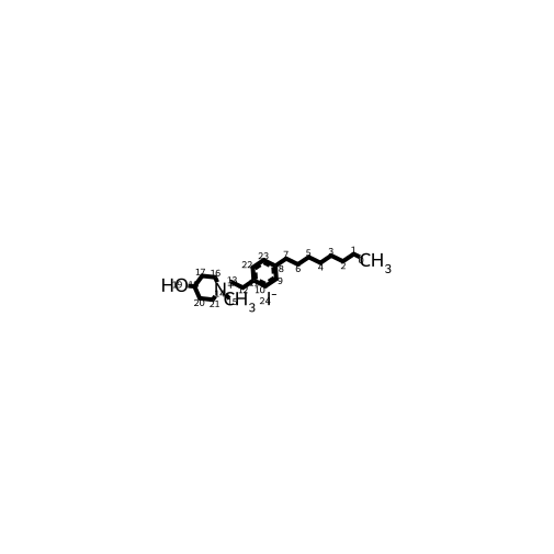 CCCCCCCCc1ccc(CC[N+]2(C)CCC(O)CC2)cc1.[I-]